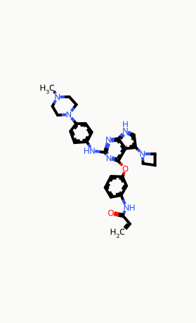 C=CC(=O)Nc1cccc(Oc2nc(Nc3ccc(N4CCN(C)CC4)cc3)nc3[nH]cc(N4CCC4)c23)c1